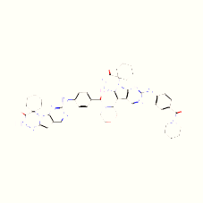 O=C(c1ccc(Nc2ncc3c(C4COCCN4C(=O)c4ccc(Nc5ncc6cc7n(c6n5)C5(CCCCC5)C(=O)NN7)cc4)c4n(c3n2)C2(CCCCC2)C(=O)NN4)cc1)N1CCCCC1